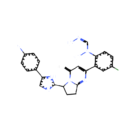 C=C1C=C(c2cc(Cl)ccc2N(N)/C=N\N)N=C2CCC(c3ncc(-c4ccc(N)cc4)[nH]3)N12